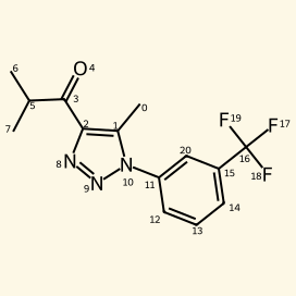 Cc1c(C(=O)C(C)C)nnn1-c1cccc(C(F)(F)F)c1